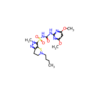 CCCCN1CCc2nn(C)c(S(=O)(=O)NC(=O)Nc3nc(OC)cc(OC)n3)c2S1